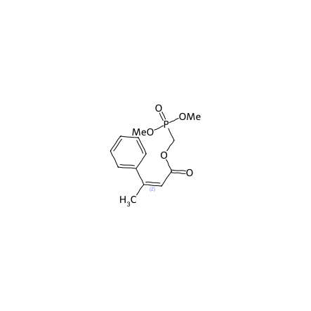 COP(=O)(COC(=O)/C=C(/C)c1ccccc1)OC